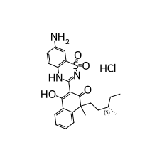 CC[C@H](C)CCC1(C)C(=O)C(C2=NS(=O)(=O)c3cc(N)ccc3N2)=C(O)c2ccccc21.Cl